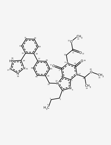 CCCc1nc2c(c(=O)n(CC(=O)OC)c(=O)n2C(C)OC)n1Cc1ccc(-c2ccccc2-c2nnn[nH]2)cc1